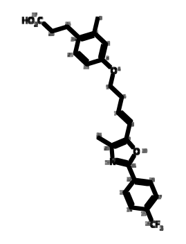 Cc1cc(OCCC=Cc2oc(-c3ccc(C(F)(F)F)cc3)nc2C)ccc1CCC(=O)O